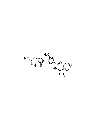 CC(NC(=O)c1cc(-c2cc3cc(C#N)cnc3[nH]2)n(C)n1)N1CCOCC1